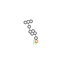 FC(F)(F)Oc1ccc(-c2ccc3ccc4c(-c5ccc(-c6c7ccccc7cc7ccccc67)cc5)ccc5ccc2c3c54)cc1